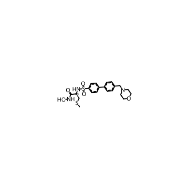 CSC[C@H](NS(=O)(=O)c1ccc(-c2ccc(CN3CCOCC3)cc2)cc1)C(=O)NO